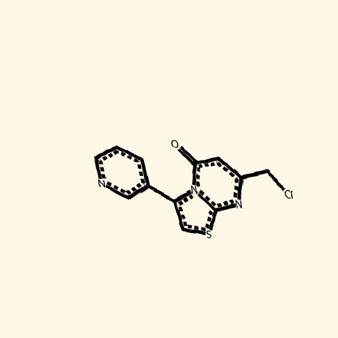 O=c1cc(CCl)nc2scc(-c3cccnc3)n12